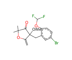 C=C1OC(C)(C)C(=O)C1(Cc1cc(Br)ccc1OC(F)F)OC